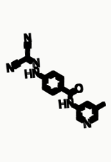 Cc1cncc(NC(=O)c2ccc(NN=C(C#N)C#N)cc2)c1